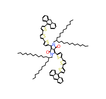 CCCCCCCCCCCCC(CCCCCCCCCC)CN1C(=O)C2=C(c3ccc(-c4ccc(-c5ccc(-c6c7ccccc7cc7ccccc67)s5)s4)s3)N(CC(CCCCCCCCCC)CCCCCCCCCCCC)C(=O)C2=C1c1ccc(-c2ccc(-c3ccc(C4=C5C=CC=CC5Cc5ccccc54)s3)s2)s1